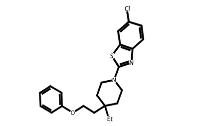 CCC1(CCOc2c[c]ccc2)CCN(c2nc3ccc(Cl)cc3s2)CC1